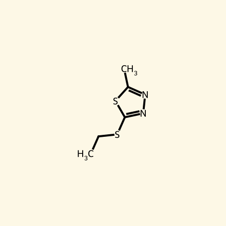 CCSc1nnc(C)s1